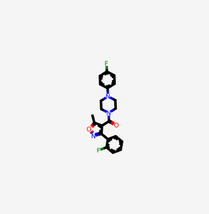 Cc1onc(-c2ccccc2F)c1C(=O)N1CCN(c2ccc(F)cc2)CC1